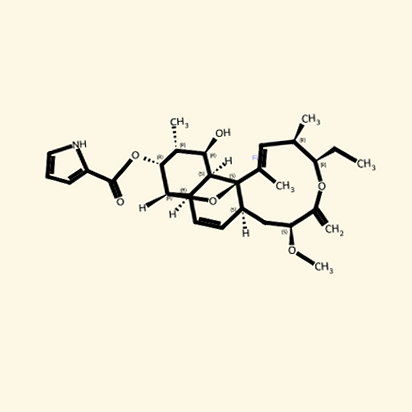 C=C1O[C@H](CC)[C@H](C)/C=C(\C)[C@]23O[C@@H]4[C@H](C=C[C@@H]2C[C@@H]1OC)[C@H]3[C@H](O)[C@@H](C)[C@H]4OC(=O)c1ccc[nH]1